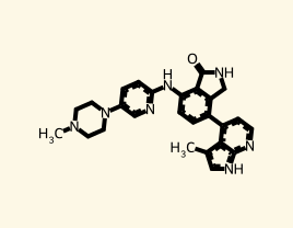 Cc1c[nH]c2nccc(-c3ccc(Nc4ccc(N5CCN(C)CC5)cn4)c4c3CNC4=O)c12